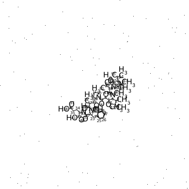 CCC(C)C(C(CC(=O)N1CCCC1C(OC)C(C)C(=O)NC(Cc1ccccc1)C(=O)NC(CCC(=O)O)C(=O)O)OC)N(C)C(=O)[C@@H](NC(=O)C(C(C)C)N(C)C)C(C)C